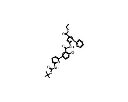 CCOC(=O)c1cc(NC(=O)c2cc(-c3cccc(NC(=O)OC(C)(C)C)n3)ccc2Cl)n(-c2ccccc2)n1